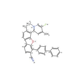 Cc1cc(-c2c(C)ccc3c2oc2c(-c4ccc(-c5ccccc5)cc4)c(C#N)ccc23)[n+](C)cc1F